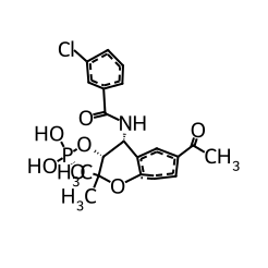 CC(=O)c1ccc2c(c1)[C@@H](NC(=O)c1cccc(Cl)c1)[C@@H](OP(=O)(O)O)C(C)(C)O2